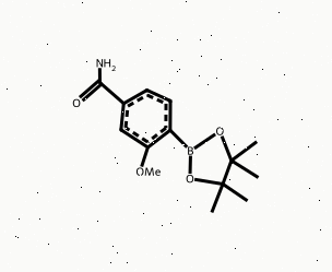 COc1cc(C(N)=O)ccc1B1OC(C)(C)C(C)(C)O1